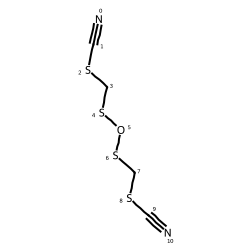 N#CSCSOSCSC#N